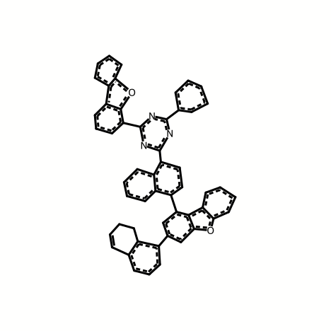 C1=Cc2cccc(-c3cc(-c4ccc(-c5nc(-c6ccccc6)nc(-c6cccc7c6oc6ccccc67)n5)c5ccccc45)c4c(c3)oc3ccccc34)c2CC1